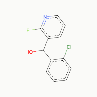 OC(c1ccccc1Cl)c1cccnc1F